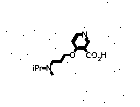 CC(C)N(C)CCCOc1ccncc1C(=O)O